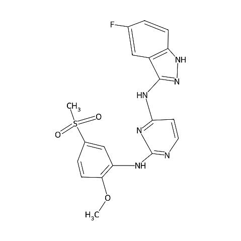 COc1ccc(S(C)(=O)=O)cc1Nc1nccc(Nc2n[nH]c3ccc(F)cc23)n1